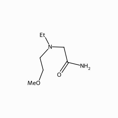 CCN(CCOC)CC(N)=O